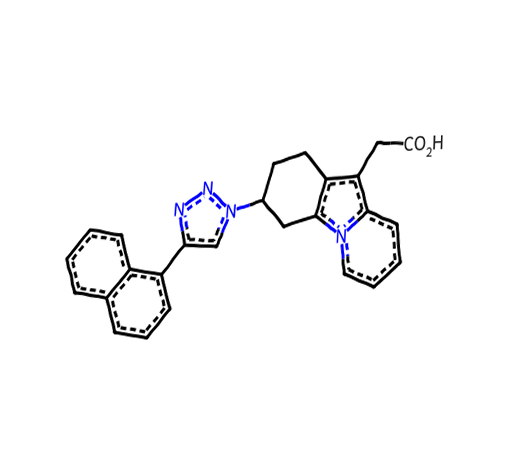 O=C(O)Cc1c2c(n3ccccc13)CC(n1cc(-c3cccc4ccccc34)nn1)CC2